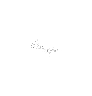 CC(C(=O)Nc1ccc2c(/C=C(/C(N)=O)c3ccccc3)c[nH]c2n1)c1ccc(N2CCN(C)C2=O)cc1